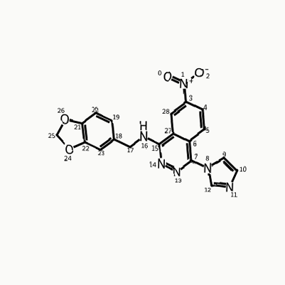 O=[N+]([O-])c1ccc2c(-n3ccnc3)nnc(NCc3ccc4c(c3)OCO4)c2c1